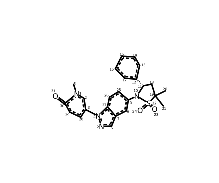 Cn1cc(-n2ncc3cc(N4[C@H](c5ccccc5)CC(C)(C)S4(=O)=O)ccc32)ccc1=O